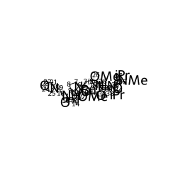 CC[C@H](C)[C@@H]([C@H](CC(=O)N1CCC[C@H]1[C@H](OC)[C@@H](C)C(=O)NCCN1CCOCC1)OC)N(C)C(=O)[C@@H](NC(=O)[C@@H](NC)C(C)C)C(C)C